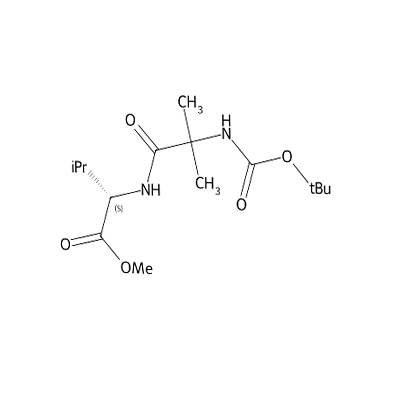 COC(=O)[C@@H](NC(=O)C(C)(C)NC(=O)OC(C)(C)C)C(C)C